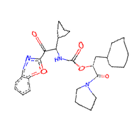 O=C(NC(C(=O)c1nc2ccccc2o1)C1CC1)OC(CC1CCCCC1)C(=O)N1CCCC1